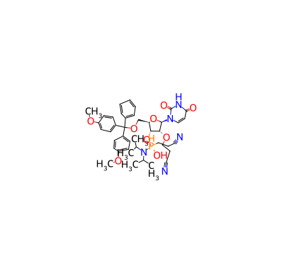 COc1ccc(C(OC[C@H]2O[C@@H](n3ccc(=O)[nH]c3=O)[C@H](OCCC#N)[C@@H]2O[PH](O)(CCC#N)N(C(C)C)C(C)C)(c2ccccc2)c2ccc(OC)cc2)cc1